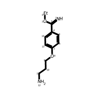 CCOC(=N)c1ccc(OCCCN)cc1